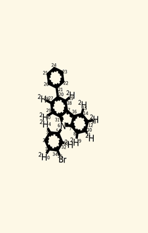 [2H]c1cc([2H])c(-n2c3c([2H])c([2H])c([2H])c([2H])c3c3c([2H])c(-c4ccccc4)c([2H])c([2H])c32)c([2H])c1Br